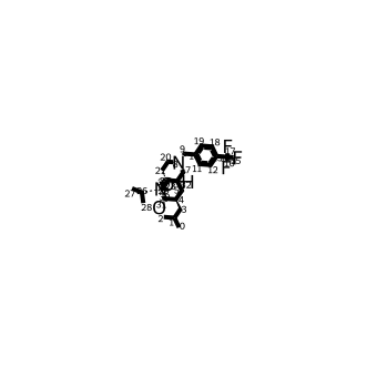 CC(C)C[C@@H]1C[C@@H]2CN(Cc3ccc(C(F)(F)F)cc3)CC[C@@]23OC[C@H](C(C)C)N3C1=O